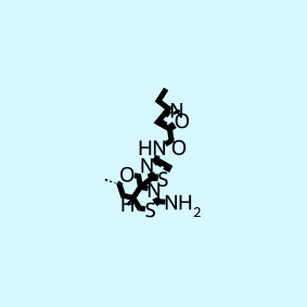 CCc1cc(C(=O)Nc2csc(C34CO[C@@H](C)C[C@H]3CSC(N)=N4)n2)on1